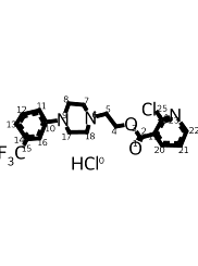 Cl.O=C(OCCN1CCN(c2cccc(C(F)(F)F)c2)CC1)c1cccnc1Cl